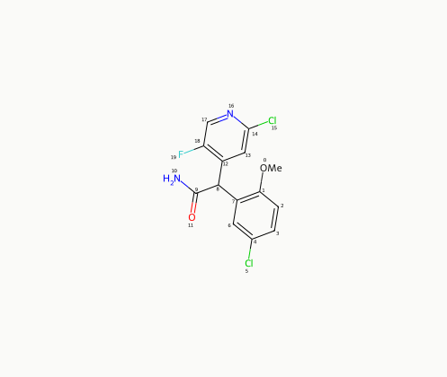 COc1ccc(Cl)cc1C(C(N)=O)c1cc(Cl)ncc1F